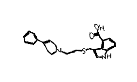 O=C(O)c1cccc2[nH]cc(CSCCN3CC=C(c4ccccc4)CC3)c12